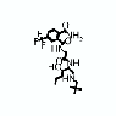 CCCC(O)C(CNCC(C)(C)C)NC(=O)CNC(=O)c1cc(C(F)(F)F)ccc1C(N)=O